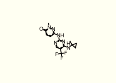 Cn1nc(Nc2ncc(C(F)(F)F)c(NC3(C)CC3)n2)ccc1=O